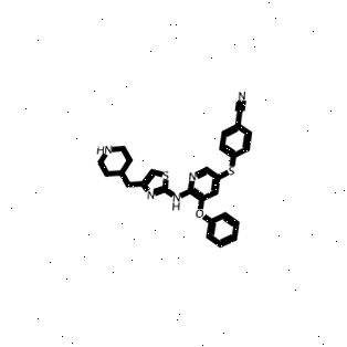 N#Cc1ccc(Sc2cnc(Nc3nc(CC4CCNCC4)cs3)c(Oc3ccccc3)c2)cc1